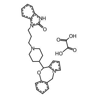 O=C(O)C(=O)O.O=c1[nH]c2ccccc2n1CCCN1CCC(C2Oc3ccccc3Cn3cccc32)CC1